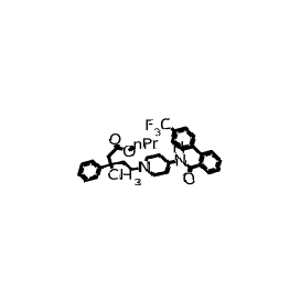 CCCOC(=O)CC(C)(CCN1CCC(NC(=O)c2ccccc2-c2ccc(C(F)(F)F)cc2)CC1)c1ccccc1